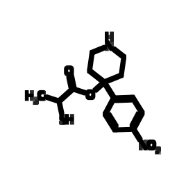 CC(S)C(=O)OC1(c2ccc([N+](=O)[O-])cc2)CCNCC1